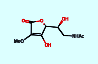 COC1=C(O)[C@@H]([C@@H](O)CNC(C)=O)OC1=O